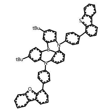 CC(C)(C)c1ccc2c(c1)B1c3ccc(C(C)(C)C)cc3N(c3ccc(-c4cccc5c4oc4ccccc45)cc3)c3cccc(c31)N2c1ccc(-c2cccc3c2sc2ccccc23)cc1